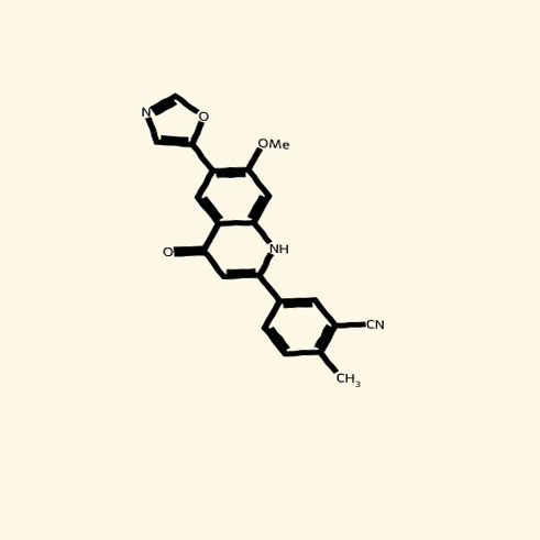 COc1cc2[nH]c(-c3ccc(C)c(C#N)c3)cc(=O)c2cc1-c1cnco1